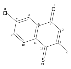 CC1=CC(=O)c2cc(Cl)ccc2C1=S